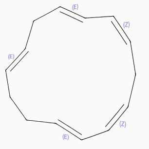 C1=C\C/C=C\C=C\CC/C=C/C/C=C/1